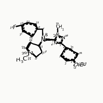 CC(C)COc1ccc(-c2nc(N(Cc3ccc(F)cc3)C3CCN(C)CC3)n(C)n2)cc1